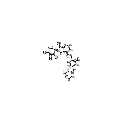 O=C1CC[C@@H](N2Cc3c(OCc4ccc(CN5CCOCC5)cc4F)cccc3C2=O)C(=O)N1